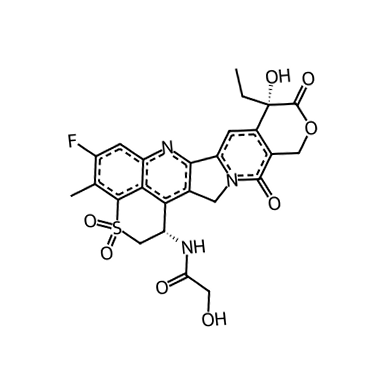 CC[C@@]1(O)C(=O)OCc2c1cc1n(c2=O)Cc2c-1nc1cc(F)c(C)c3c1c2[C@H](NC(=O)CO)CS3(=O)=O